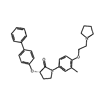 Cc1cc(N2CC[C@H](Oc3ccc(-c4ccccc4)cc3)C2=O)ccc1OCCN1CCCC1